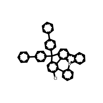 Clc1ccc2c3c1-c1ccccc1-n1c4ccccc4c4ccc(c-3c41)C2(c1ccc(-c2ccccc2)cc1)c1ccc(-c2ccccc2)cc1